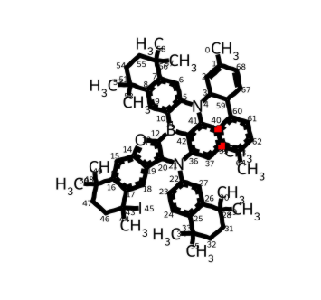 CC1=CC(N2c3cc4c(cc3B3c5oc6cc7c(cc6c5N(c5ccc6c(c5)C(C)(C)CCC6(C)C)c5cc(C)cc2c53)C(C)(I)CCC7(C)C)C(C)(C)CCC4(C)C)C(c2ccc(C)cc2)C=C1